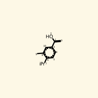 C=C(O)c1ccc(C(C)C)c(C)c1